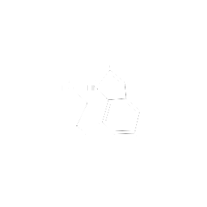 CCCO.c1ccc2[nH]ccc2c1